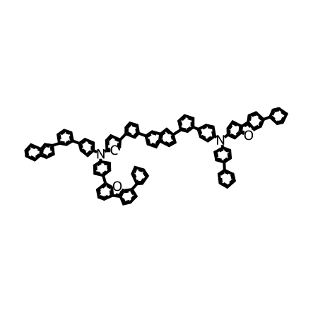 c1ccc(-c2ccc(N(c3ccc(-c4cccc(-c5ccc6ccc(-c7cccc(-c8ccc(N(c9ccc(-c%10cccc(-c%11ccc%12ccccc%12c%11)c%10)cc9)c9ccc(-c%10cccc%11c%10oc%10c(-c%12ccccc%12)cccc%10%11)cc9)cc8)c7)cc6c5)c4)cc3)c3ccc4c(c3)oc3cc(-c5ccccc5)ccc34)cc2)cc1